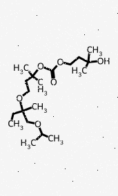 CCC(C)(COC(C)C)OCCC(C)(C)OC(=O)OCCC(C)(C)O